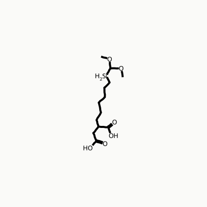 COC(OC)[SiH2]CCCCCCC(CC(=O)O)C(=O)O